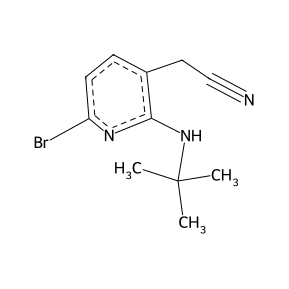 CC(C)(C)Nc1nc(Br)ccc1CC#N